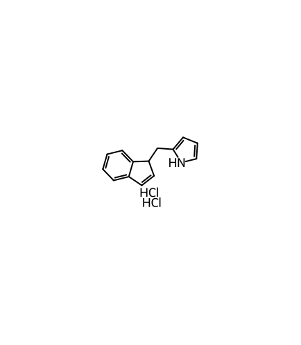 C1=CC(Cc2ccc[nH]2)c2ccccc21.Cl.Cl